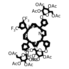 CC(=O)OCC1O[C@@H](Oc2cccc(-c3c4nc(c(-c5cccc(O[C@@H]6OC(COC(C)=O)[C@H](OC(C)=O)C(OC(C)=O)[C@@H]6OC(C)=O)c5)c5ccc([nH]5)c(-c5cc(C(F)(F)F)cc(C(F)(F)F)c5)c5nc(c(-c6cccc(O[C@@H]7OC(COC(C)=O)[C@H](OC(C)=O)C(OC(C)=O)[C@@H]7OC(C)=O)c6)c6ccc3[nH]6)C=C5)C=C4)c2)[C@@H](OC(C)=O)C(OC(C)=O)[C@H]1OC(C)=O